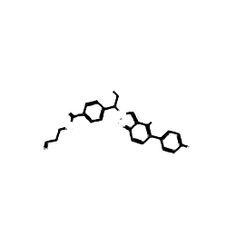 C=CCCNC(=C)c1ccc(C(CC(C)C)B2C=c3c(C)c(-c4ccc(C(F)(F)F)cc4)ccc3=N2)cc1